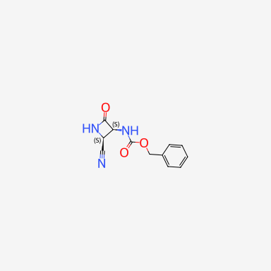 N#C[C@H]1NC(=O)[C@H]1NC(=O)OCc1ccccc1